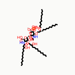 CCCCCCCCCCCCO[C@H](CCCCCCCCCCC)CCO[C@@H]1[C@@H](NC(C)=O)[C@H](OC[C@H]2O[C@H](C(=O)O)[C@H](NC(=O)C[C@H](O)CCCCCCCCCCC)[C@@H](OCC[C@H](O)CCCCCCCCCCC)[C@@H]2O)O[C@H](COC)[C@H]1OP(=O)(O)O